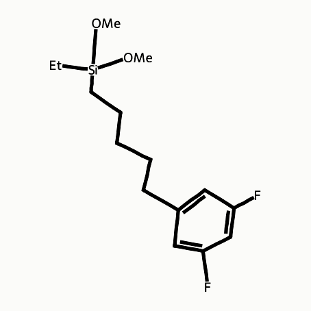 CC[Si](CCCCCc1cc(F)cc(F)c1)(OC)OC